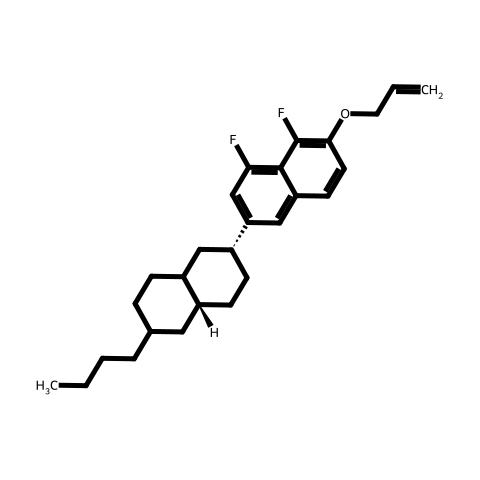 C=CCOc1ccc2cc([C@@H]3CC[C@@H]4CC(CCCC)CCC4C3)cc(F)c2c1F